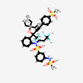 CC[Si](CC)(CC)OC(C#Cc1ccc(S(C)(=O)=O)cc1)(c1ccccc1N(CCC(F)(F)F)S(=O)(=O)c1cccc(NS(C)(=O)=O)c1)C(F)(F)F